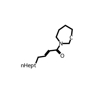 CCCCCCCC/C=C/C(=O)N1CCCCCC1